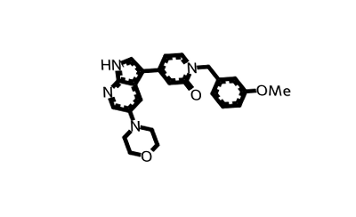 COc1cccc(Cn2ccc(-c3c[nH]c4ncc(N5CCOCC5)cc34)cc2=O)c1